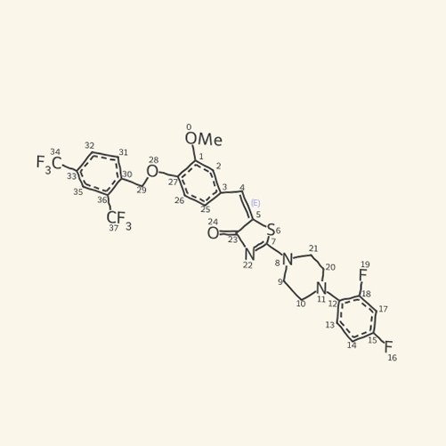 COc1cc(/C=C2/SC(N3CCN(c4ccc(F)cc4F)CC3)=NC2=O)ccc1OCc1ccc(C(F)(F)F)cc1C(F)(F)F